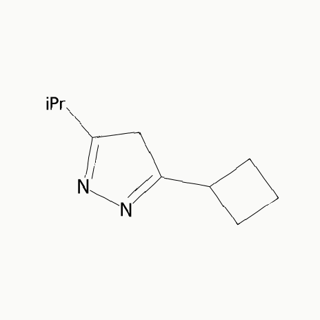 CC(C)C1=NN=C(C2CCC2)C1